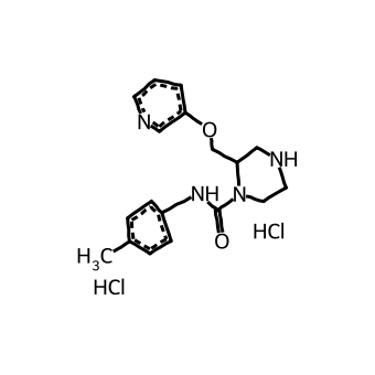 Cc1ccc(NC(=O)N2CCNCC2COc2cccnc2)cc1.Cl.Cl